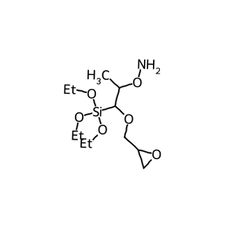 CCO[Si](OCC)(OCC)C(OCC1CO1)C(C)ON